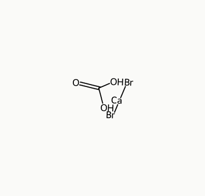 O=C(O)O.[Br][Ca][Br]